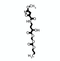 CCCOC(=O)OCOC(=O)C(O)CCNC(=O)c1cc(OC)no1